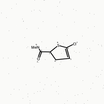 CNC(=O)C1CC=C(Cl)S1